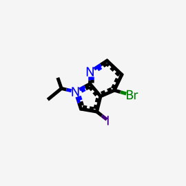 CC(C)n1cc(I)c2c(Br)ccnc21